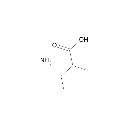 CCC(I)C(=O)O.N